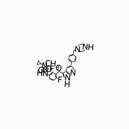 CN(C1CC1)S(=O)(=O)Nc1ccc(F)c(C(=O)c2c[nH]c3ncc(-c4ccc(CN5CCNCC5)cc4)cc23)c1F